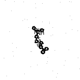 c1ccc(C2=NC(c3ccc4c(c3)sc3c(-c5cccc6c5oc5ccc(-n7c8ccccc8c8ccccc87)cc56)cccc34)NC(c3ccccc3)=N2)cc1